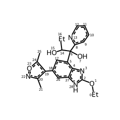 CCOc1nc2c(C(O)(c3ccccn3)C(O)CC)cc(-c3c(C)noc3C)cc2[nH]1